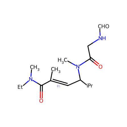 CCN(C)C(=O)/C(C)=C/C(C(C)C)N(C)C(=O)CNC=O